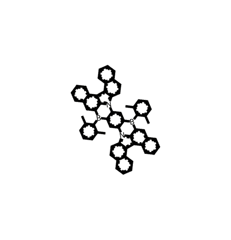 Cc1cccc(C)c1B1c2cc3c(cc2-n2c4ccc5ccccc5c4c4c5ccccc5cc1c42)B(c1c(C)cccc1C)c1cc2ccccc2c2c4c5ccccc5ccc4n-3c12